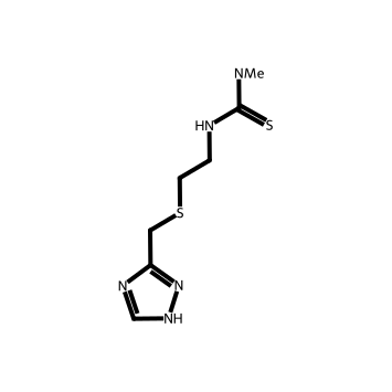 CNC(=S)NCCSCc1nc[nH]n1